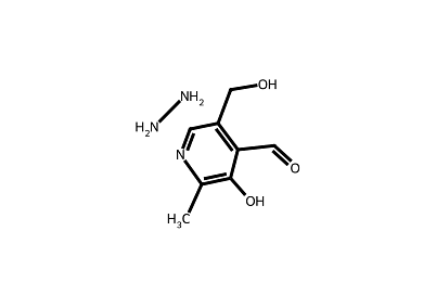 Cc1ncc(CO)c(C=O)c1O.NN